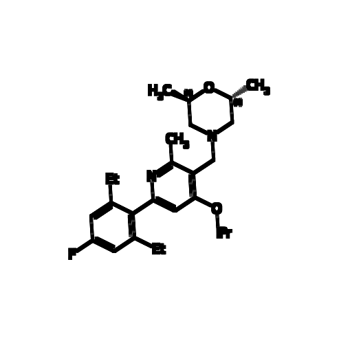 CCc1cc(F)cc(CC)c1-c1cc(OC(C)C)c(CN2C[C@@H](C)O[C@H](C)C2)c(C)n1